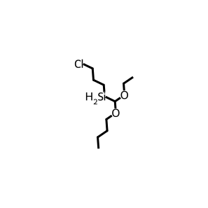 CCCCOC(OCC)[SiH2]CCCCl